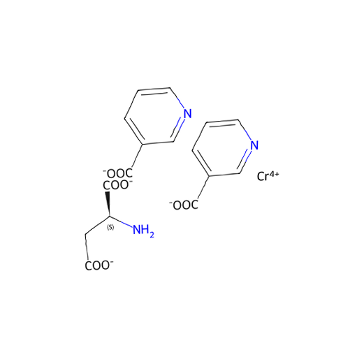 N[C@@H](CC(=O)[O-])C(=O)[O-].O=C([O-])c1cccnc1.O=C([O-])c1cccnc1.[Cr+4]